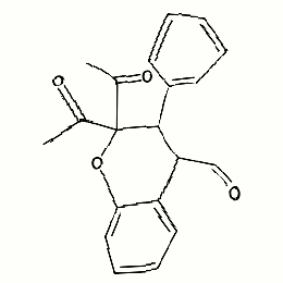 CC(=O)C1(C(C)=O)Oc2ccccc2C(C=O)C1c1ccccc1